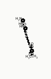 CC1(C)OCc2cc([C@@H]3CN(CCCCCCOCCOCc4cccc(NC(=O)Nc5cccc(N)c5)c4)C(=O)O3)ccc2O1